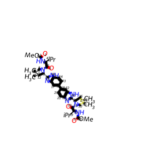 COC(=O)N[C@H](C(=O)N1C[Si](C)(C)C[C@H]1c1nc2cc(-c3ccc4nc([C@@H]5CS(C)(C)CN5C(=O)[C@@H](NC(=O)OC)C(C)C)[nH]c4c3)ccc2[nH]1)C(C)C